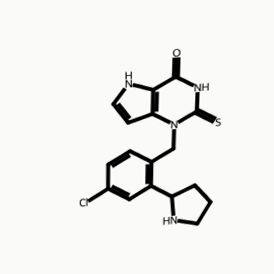 O=c1[nH]c(=S)n(Cc2ccc(Cl)cc2C2CCCN2)c2cc[nH]c12